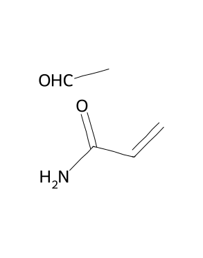 C=CC(N)=O.CC=O